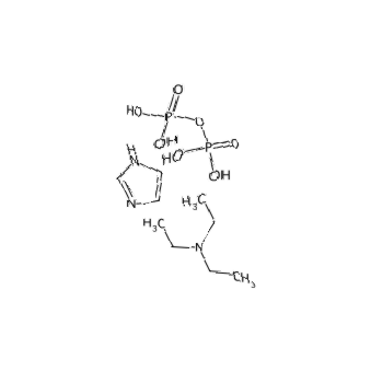 CCN(CC)CC.O=P(O)(O)OP(=O)(O)O.c1c[nH]cn1